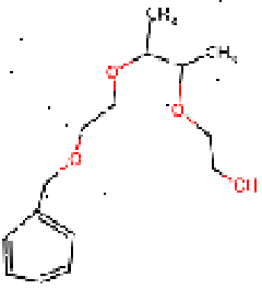 CC(OCCO)C(C)OCCOCc1ccccc1